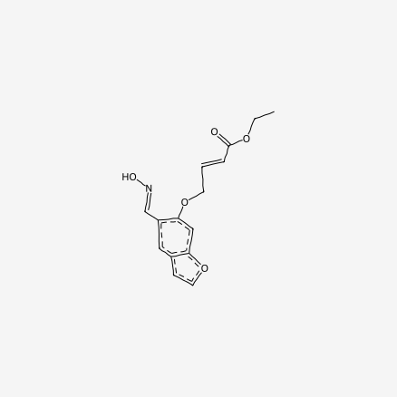 CCOC(=O)C=CCOc1cc2occc2cc1/C=N/O